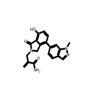 C=C(CN1Cc2c(-c3ccc4cnn(C)c4c3)ccc(O)c2C1=O)C(N)=O